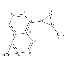 CC1OC1c1cccc2c3c(ccc12)O3